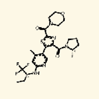 CC[C@H](Nc1cc(C)c(-c2sc(C(=O)N3CCOCC3)nc2C(=O)N2CCC[C@@H]2C)cn1)C(F)(F)F